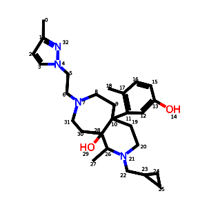 Cc1ccn(CCN2CCC3(c4cc(O)ccc4C)CCN(CC4CC4)C(C)C3(O)CC2)n1